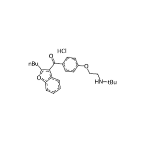 CCCCc1oc2ccccc2c1C(=O)c1ccc(OCCNC(C)(C)C)cc1.Cl